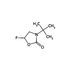 CC(C)(C)N1CC(F)OC1=O